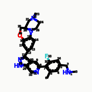 CNCc1cc(C)c(-c2cc3c(-c4ccc5c(c4)OCC4CN(C)CCN54)n[nH]c3cn2)c(F)c1